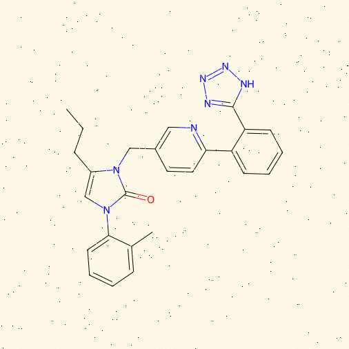 CCCc1cn(-c2ccccc2C)c(=O)n1Cc1ccc(-c2ccccc2-c2nnn[nH]2)nc1